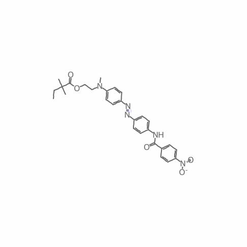 CCC(C)(C)C(=O)OCCN(C)c1ccc(/N=N/c2ccc(NC(=O)c3ccc([N+](=O)[O-])cc3)cc2)cc1